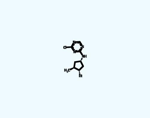 CC[C@H]1C[C@@H](Nc2ncnc(Cl)n2)C[C@@H]1C